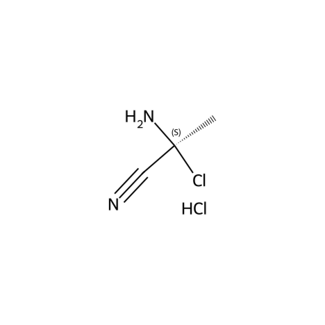 C[C@](N)(Cl)C#N.Cl